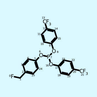 FCc1ccc(OP(Oc2ccc(C(F)(F)F)cc2)Oc2ccc(C(F)(F)F)cc2)cc1